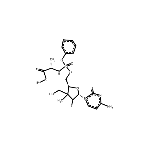 CC(C)OC(=O)[C@H](C)NP(=O)(OC[C@H]1O[C@H](n2ccc(N)nc2=O)C(F)C1(C)CO)Oc1ccccc1